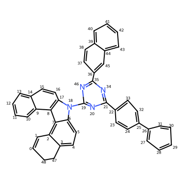 C1=Cc2c(ccc3c2c2c4ccccc4ccc2n3-c2nc(-c3ccc(-c4ccccc4)cc3)nc(-c3ccc4ccccc4c3)n2)CC1